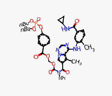 CCCCOP(=O)(OCCCC)Oc1ccc(C(=O)OCOC(=O)N(CCC)C(=O)c2cn3ncnc(Nc4cc(C(=O)NC5CC5)ccc4C)c3c2C)cc1